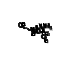 Nc1nc(-c2ccc(Cl)cc2Cl)c2cc(C(=O)NCCCC3CCCO3)sc2n1